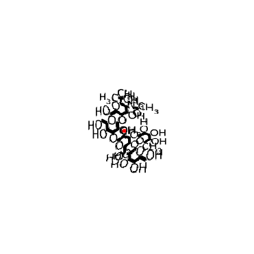 CC(=O)NC1[C@@H](O)[C@H](O[C@@H]2OC(CO)[C@H](O)[C@H](O[C@@H]3OC(CO)[C@@H](O[C@@H]4OC(CO)[C@H](O)[C@H](O)C4O)[C@@H](O[C@@H]4OC(C)[C@@H](O)C(O)[C@H]4O)C3C)C2O)C(CO)O[C@H]1C(C)(C)C